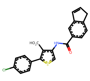 O=C(Nc1csc(-c2ccc(Cl)cc2)c1C(=O)O)c1ccc2c(c1)C=CC2